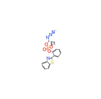 CCOP(=O)(OCN=[N+]=[N-])Oc1ccccc1-c1nc2ccccc2s1